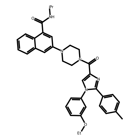 CCOc1cccc(-n2cc(C(=O)N3CCN(c4cc(C(=O)NC(C)C)c5ccccc5c4)CC3)nc2-c2ccc(C)cc2)c1